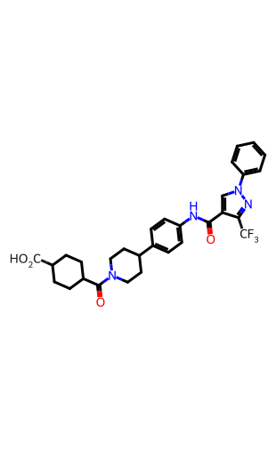 O=C(Nc1ccc(C2CCN(C(=O)C3CCC(C(=O)O)CC3)CC2)cc1)c1cn(-c2ccccc2)nc1C(F)(F)F